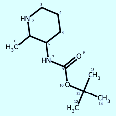 CC1NCCCC1NC(=O)OC(C)(C)C